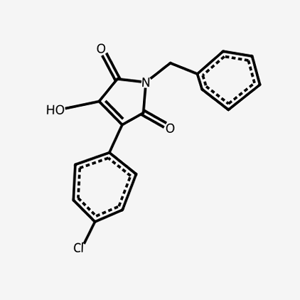 O=C1C(O)=C(c2ccc(Cl)cc2)C(=O)N1Cc1ccccc1